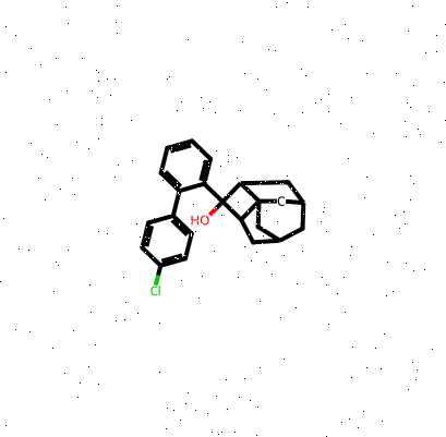 OC1(c2ccccc2-c2ccc(Cl)cc2)C2CC3CC4CC1C2(C3)C4